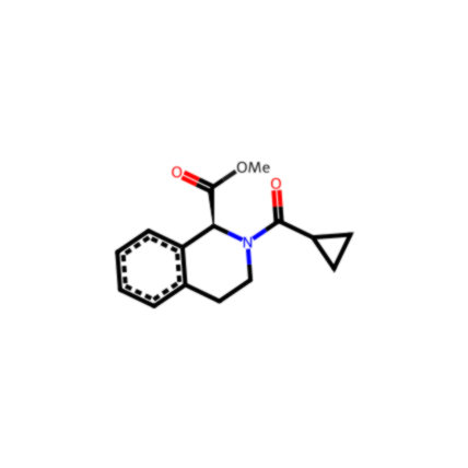 COC(=O)[C@@H]1c2ccccc2CCN1C(=O)C1CC1